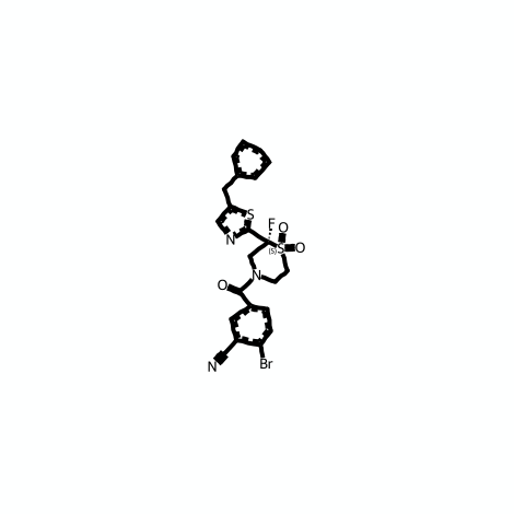 N#Cc1cc(C(=O)N2CCS(=O)(=O)[C@](F)(c3ncc(Cc4ccccc4)s3)C2)ccc1Br